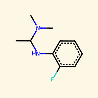 CC(Nc1ccccc1F)N(C)C